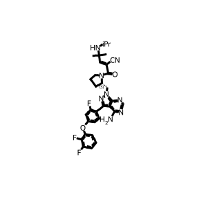 CC(C)NC(C)(C)C=C(C#N)C(=O)N1CCC[C@H]1Cn1nc(-c2ccc(Oc3cccc(F)c3F)cc2F)c2c(N)ncnc21